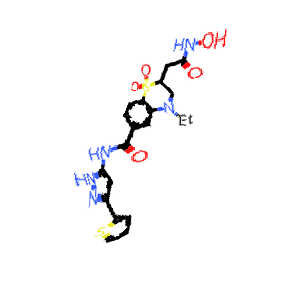 CCN1CC(CC(=O)NO)S(=O)(=O)c2ccc(C(=O)Nc3cc(-c4cccs4)n[nH]3)cc21